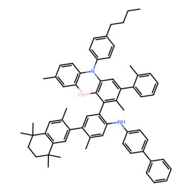 CCCCc1ccc(N2c3ccc(C)cc3Bc3c2cc(-c2ccccc2C)c(C)c3-c2cc(-c3cc4c(cc3C)C(C)(C)CCC4(C)C)c(C)cc2Nc2ccc(-c3ccccc3)cc2)cc1